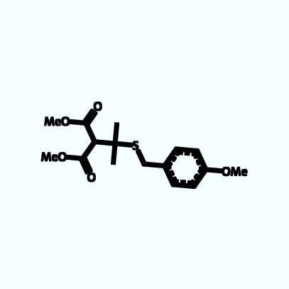 COC(=O)C(C(=O)OC)C(C)(C)SCc1ccc(OC)cc1